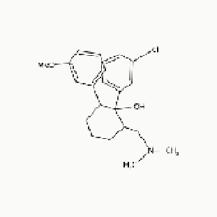 COc1cccc(C2CCCC(CN(C)C)C2(O)c2cccc(Cl)c2)c1